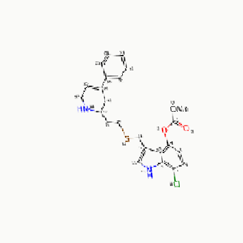 COC(=O)Oc1ccc(Cl)c2[nH]cc(CSCCC3CC(c4ccccc4)=CCN3)c12